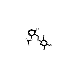 CCC(=O)Oc1cccc(CC)c1COc1cc(C)c(CC)cc1F